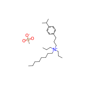 CCCCCCCC[N+](CCC)(CCC)CCCc1ccc(C(C)C)cc1.CS(=O)(=O)[O-]